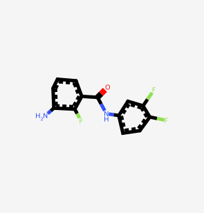 Nc1cccc(C(=O)Nc2ccc(F)c(F)c2)c1F